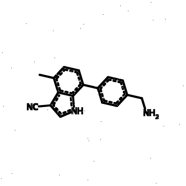 Cc1ccc(-c2ccc(CN)cc2)c2[nH]cc(C#N)c12